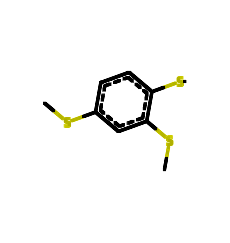 CSc1ccc([S])c(SC)c1